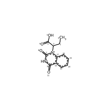 CCC(C(=O)O)n1c(=O)[nH]c(=O)c2ccccc21